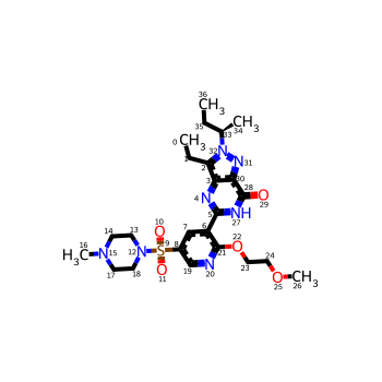 CCc1c2nc(-c3cc(S(=O)(=O)N4CCN(C)CC4)cnc3OCCOC)[nH]c(=O)c2nn1[C@H](C)CC